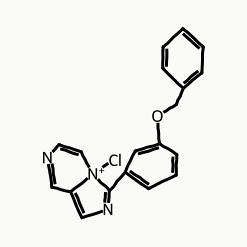 Cl[N+]12C=CN=CC1=CN=C2c1cccc(OCc2ccccc2)c1